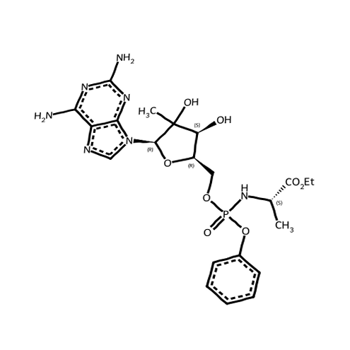 CCOC(=O)[C@H](C)NP(=O)(OC[C@H]1O[C@@H](n2cnc3c(N)nc(N)nc32)C(C)(O)[C@H]1O)Oc1ccccc1